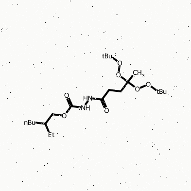 CCCCC(CC)COC(=O)NNC(=O)CCC(C)(OOC(C)(C)C)OOC(C)(C)C